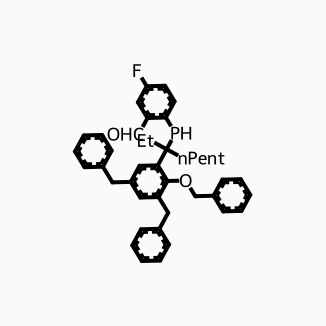 CCCCCC(CC)(Pc1ccc(F)cc1C=O)c1cc(Cc2ccccc2)cc(Cc2ccccc2)c1OCc1ccccc1